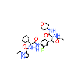 CCC(=O)NC(C(=O)NC1CCOCC1)C(C)c1ccc(NC(=O)C(NC(=O)c2ccnn2CC)C2CCCCC2)c(F)c1